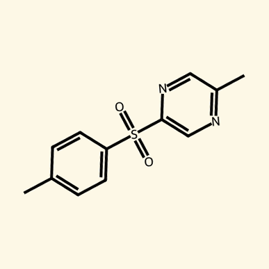 Cc1ccc(S(=O)(=O)c2cnc(C)cn2)cc1